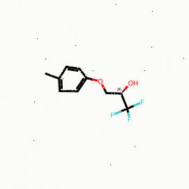 Cc1ccc(OC[C@@H](O)C(F)(F)F)cc1